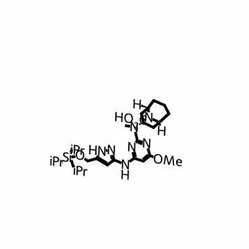 COc1cc(Nc2cc(CO[Si](C(C)C)(C(C)C)C(C)C)[nH]n2)nc(N(C)[C@H]2C[C@H]3CCC[C@@H](C2)N3C(=O)O)n1